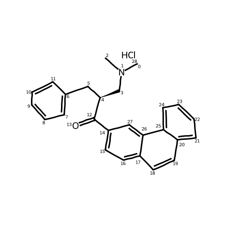 CN(C)C[C@H](Cc1ccccc1)C(=O)c1ccc2ccc3ccccc3c2c1.Cl